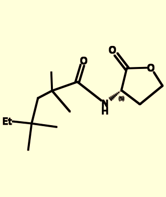 CCC(C)(C)CC(C)(C)C(=O)N[C@H]1CCOC1=O